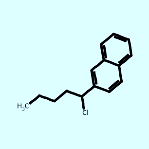 CCCCC(Cl)c1ccc2ccccc2c1